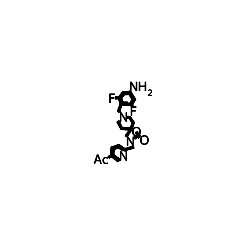 CC(=O)c1ccc(CN2CC3(CCN(Cc4c(F)cc(N)cc4F)CC3)OC2=O)nc1